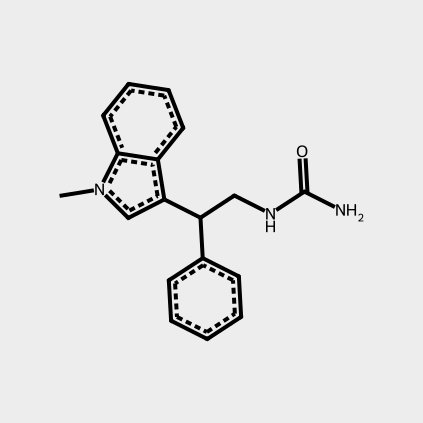 Cn1cc(C(CNC(N)=O)c2ccccc2)c2ccccc21